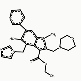 CCOC(=O)c1c(CN2CCOCC2)n(C)c2cc(-c3cccnc3)c(O)c(Cn3ccnc3)c12